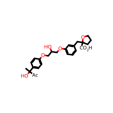 CC(=O)C(C)(O)c1ccc(OCC(O)COc2cccc(CC3(C(=O)O)CCCO3)c2)cc1